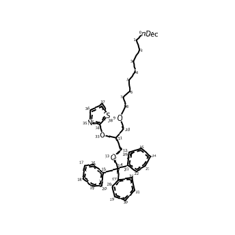 CCCCCCCCCCCCCCCCCCOCC(COC(c1ccccc1)(c1ccccc1)c1ccccc1)Oc1nccs1